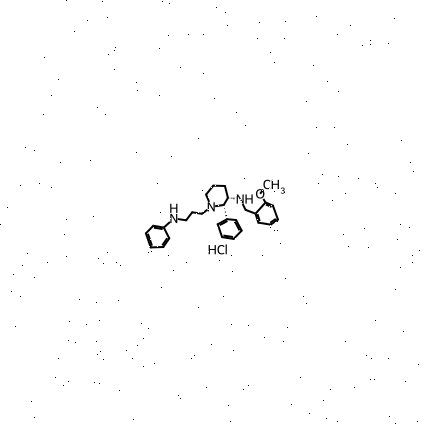 COc1ccccc1CN[C@H]1CCCN(CCCNc2ccccc2)[C@H]1c1ccccc1.Cl